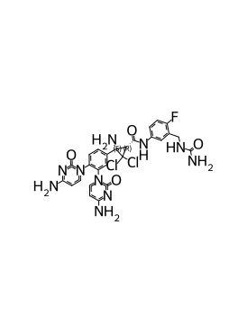 NC(=O)NCc1cc(NC(=O)[C@@H]2C(Cl)(Cl)[C@@]2(N)c2ccc(-n3ccc(N)nc3=O)c(-n3ccc(N)nc3=O)c2)ccc1F